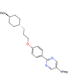 CCCCCCCc1cnc(-c2ccc(OCCC[C@H]3CC[C@H](CCCCCC)CC3)cc2)nc1